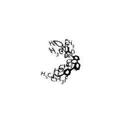 COc1cc(-c2cccc(-c3cccc(NC(=O)C4=CN(C)C(O)N(C)C4=O)c3Cl)c2Cl)cc(F)c1CNC(C)C